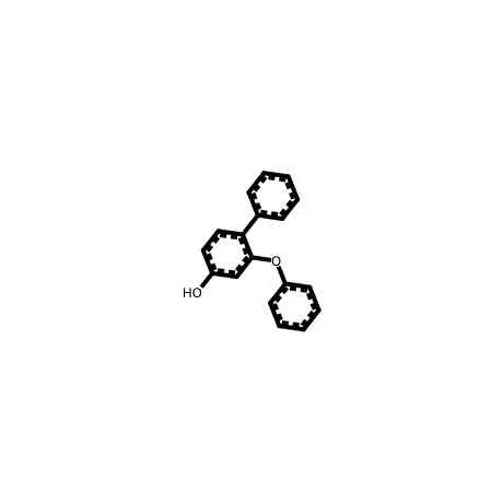 Oc1ccc(-c2ccccc2)c(Oc2ccccc2)c1